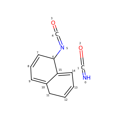 N=C=O.O=C=NC1C=CC=C2CC=CC=C21